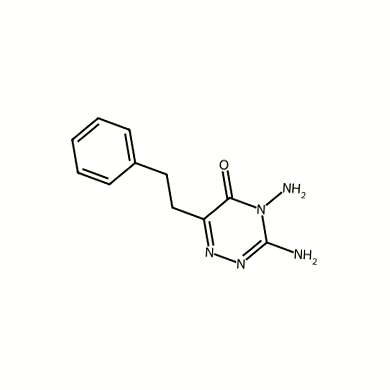 Nc1nnc(CCc2ccccc2)c(=O)n1N